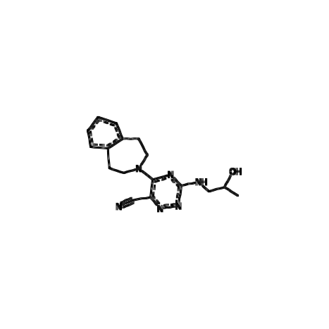 CC(O)CNc1nnc(C#N)c(N2CCc3ccccc3CC2)n1